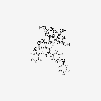 C[C@H]([C@H](CCc1ccccc1)c1ccc(Oc2ccccc2)cc1)N(CC(=O)O)C(=O)[C@@H]1OC(OC(=O)O)(OC(=O)O)O[C@H]1OC(=O)O